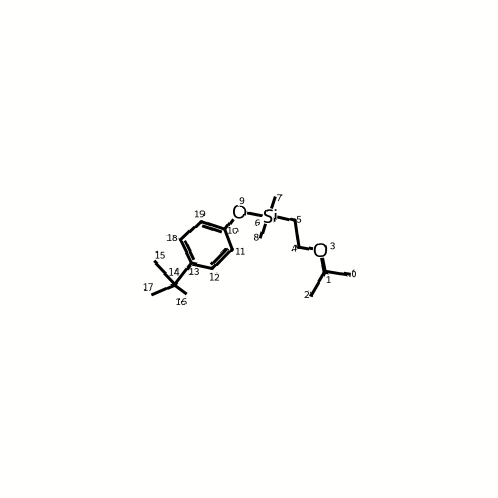 CC(C)OCC[Si](C)(C)Oc1ccc(C(C)(C)C)cc1